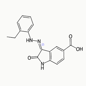 CCc1ccccc1N/N=C1\C(=O)Nc2ccc(C(=O)O)cc21